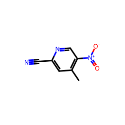 Cc1cc(C#N)ncc1[N+](=O)[O-]